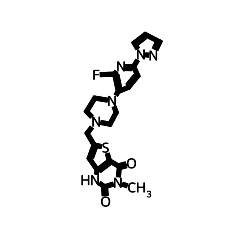 Cn1c(=O)[nH]c2cc(CN3CCN(c4ccc(-n5cccn5)nc4F)CC3)sc2c1=O